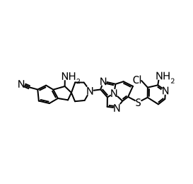 N#Cc1ccc2c(c1)C(N)C1(CCN(c3nc4ccc(Sc5ccnc(N)c5Cl)c5ncc3n45)CC1)C2